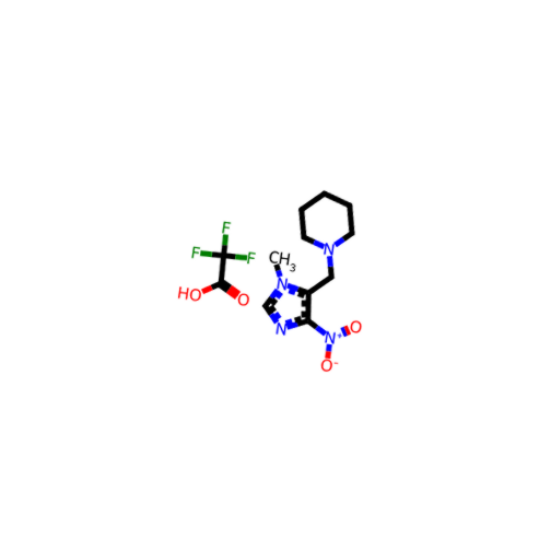 Cn1cnc([N+](=O)[O-])c1CN1CCCCC1.O=C(O)C(F)(F)F